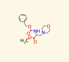 COC(=O)C(CN1CCOCC1)NC(=O)OCc1ccccc1